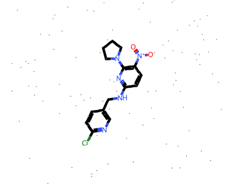 O=[N+]([O-])c1ccc(NCc2ccc(Cl)nc2)nc1N1CCCC1